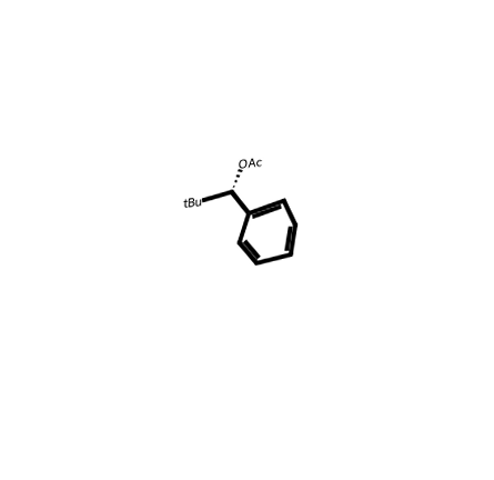 CC(=O)O[C@H](c1ccccc1)C(C)(C)C